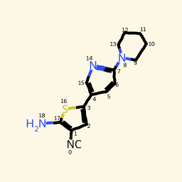 [C-]#[N+]c1cc(-c2ccc(N3CCCCC3)nc2)sc1N